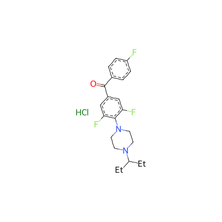 CCC(CC)N1CCN(c2c(F)cc(C(=O)c3ccc(F)cc3)cc2F)CC1.Cl